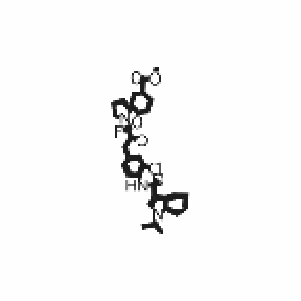 COC(=O)C1CCC(OC(F)(C(=O)Cc2ccc(NC(=O)c3cn(C(C)C)c4ccccc34)c(Cl)c2)N2CCCC2)CC1